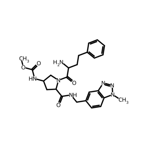 COC(=O)NC1CC(C(=O)NCc2ccc3c(c2)nnn3C)N(C(=O)C(N)CCc2ccccc2)C1